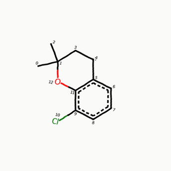 CC1(C)C[CH]c2cccc(Cl)c2O1